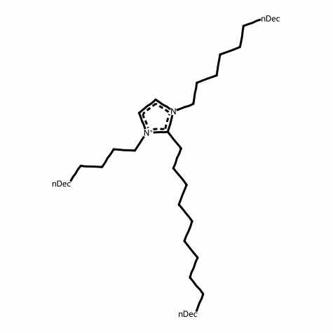 CCCCCCCCCCCCCCCCCCCc1n(CCCCCCCCCCCCCCCC)cc[n+]1CCCCCCCCCCCCCC